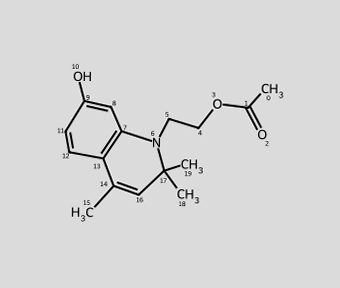 CC(=O)OCCN1c2cc(O)ccc2C(C)=CC1(C)C